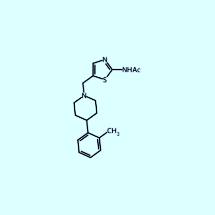 CC(=O)Nc1ncc(CN2CCC(c3ccccc3C)CC2)s1